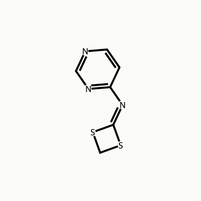 c1cc(N=C2SCS2)ncn1